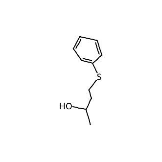 CC(O)CCSc1ccccc1